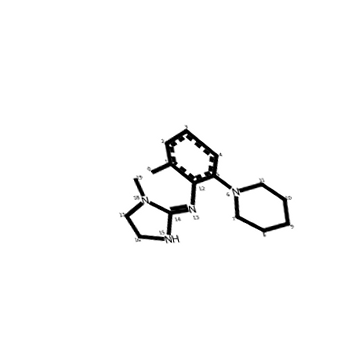 Cc1cccc(N2CCCCC2)c1/N=C1/NCCN1C